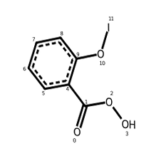 O=C(OO)c1ccccc1OI